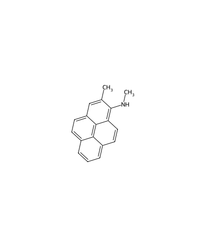 CNc1c(C)cc2ccc3cccc4ccc1c2c34